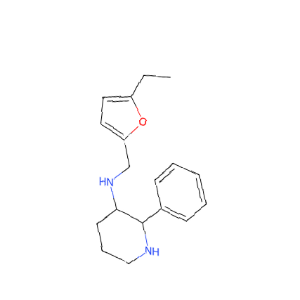 CCc1ccc(CNC2CCCNC2c2ccccc2)o1